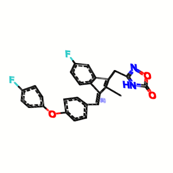 CC1=C(Cc2noc(=O)[nH]2)c2cc(F)ccc2/C1=C\c1ccc(Oc2ccc(F)cc2)cc1